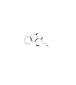 N=NNC(=O)c1c(C(=O)N=O)c2c([nH]c1=O)CCCC2